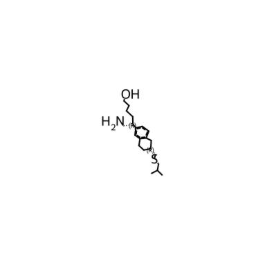 CC(C)CSC[C@@H]1CCc2cc([C@H](CN)CCCCO)ccc2C1